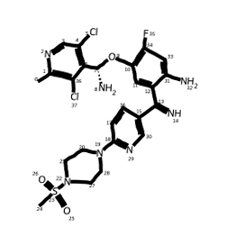 Cc1ncc(Cl)c([C@@H](N)Oc2cc(C(=N)c3ccc(N4CCN(S(C)(=O)=O)CC4)nc3)c(N)cc2F)c1Cl